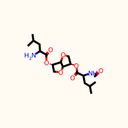 CC(C)CC(N)C(=O)O[C@H]1COC2C1OC[C@H]2OC(=O)C(CC(C)C)NC=O